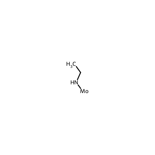 CC[NH][Mo]